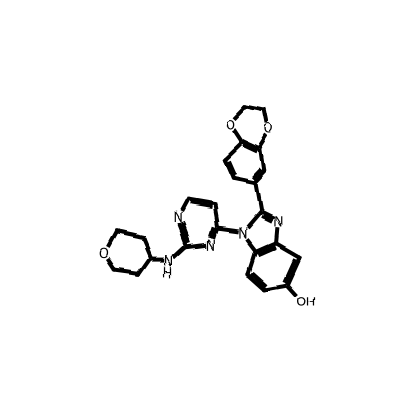 Oc1ccc2c(c1)nc(-c1ccc3c(c1)OCCO3)n2-c1ccnc(NC2CCOCC2)n1